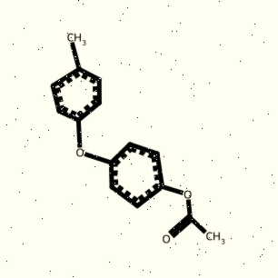 CC(=O)Oc1ccc(Oc2ccc(C)cc2)cc1